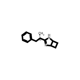 C[C@@H](Cc1ccccc1)C1=NC2CCC2N1